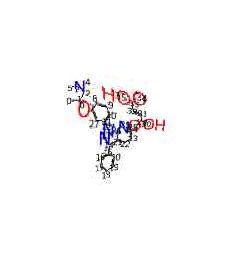 CC(CN(C)C)Oc1cccc(-n2nc(-c3ccccc3)c3cccnc32)c1.O=C(O)C=CC(=O)O